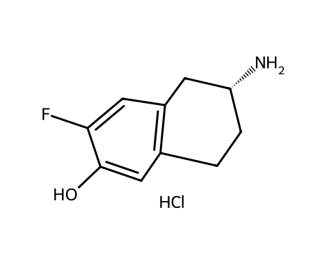 Cl.N[C@@H]1CCc2cc(O)c(F)cc2C1